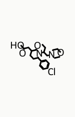 CCC(CN1CCOCC1)N1C(=O)C(CC(=O)O)CCC1c1ccc(Cl)cc1